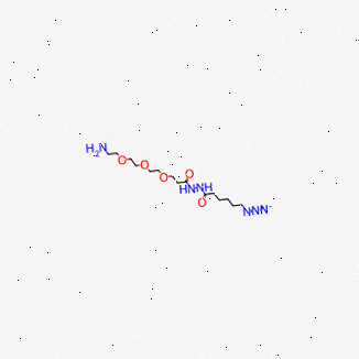 [N-]=[N+]=NCCCCCC(=O)NNC(=O)CCOCCOCCOCCN